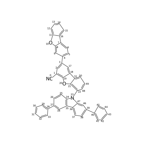 N#Cc1cc(-c2ccc3c(c2)oc2ccccc23)cc2c1oc1c(-n3c4ccc(-c5ccccc5)cc4c4ccc(-c5ccccc5)cc43)cccc12